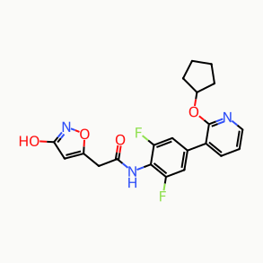 O=C(Cc1cc(O)no1)Nc1c(F)cc(-c2cccnc2OC2CCCC2)cc1F